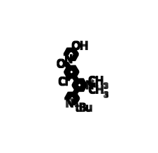 CN(C)c1cc(-c2ccnc(C(C)(C)C)c2)cc(-c2ccc(C(=O)N3CCC(O)CC3)cc2Cl)c1